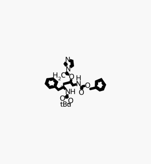 C=C(OC(CNC(=O)OCc1ccccc1)C[C@H](Cc1ccccc1)NC(=O)OC(C)(C)C)n1ccnc1